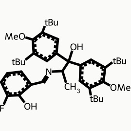 COc1c(C(C)(C)C)cc(C(O)(c2cc(C(C)(C)C)c(OC)c(C(C)(C)C)c2)C(C)N=Cc2cccc(F)c2O)cc1C(C)(C)C